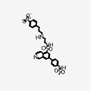 CS(=O)(=O)Nc1ccc(-c2cc(S(=O)(=O)NCCNCCCc3ccc([N+](=O)[O-])cc3)c3ccncc3c2)cc1